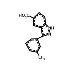 O=C(O)c1ccc2[nH]nc(-c3cccc(C(F)(F)F)c3)c2c1